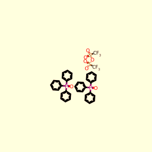 O=P(c1ccccc1)(c1ccccc1)c1ccccc1.O=P(c1ccccc1)(c1ccccc1)c1ccccc1.O=S(=O)(OS(=O)(=O)C(F)(F)F)C(F)(F)F